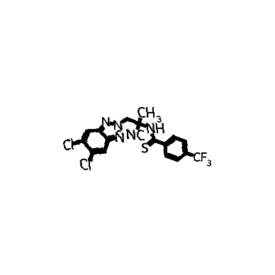 CC(C#N)(Cn1nc2cc(Cl)c(Cl)cc2n1)NC(=S)c1ccc(C(F)(F)F)cc1